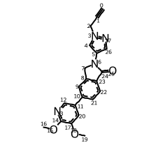 C#CCn1cc(N2Cc3cc(-c4cnc(OC)c(OC)c4)ccc3C2=O)cn1